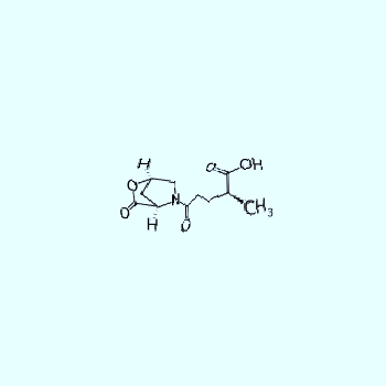 C[C@@H](CCC(=O)N1C[C@H]2C[C@@H]1C(=O)O2)C(=O)O